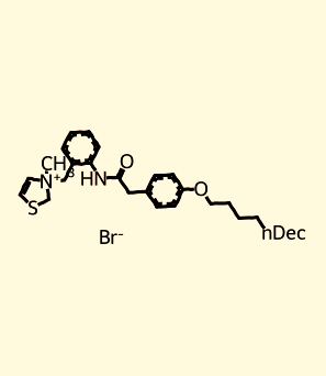 CCCCCCCCCCCCCCOc1ccc(CC(=O)Nc2ccccc2C[N+]2(C)C=CSC2)cc1.[Br-]